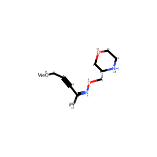 COCC#C/C(=N\OC[C@@H]1COCCN1)C(C)C